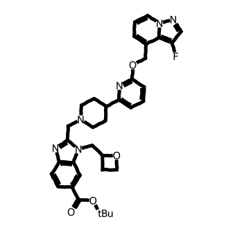 CC(C)(C)OC(=O)c1ccc2nc(CN3CCC(c4cccc(OCc5cccn6ncc(F)c56)n4)CC3)n(CC3CCO3)c2c1